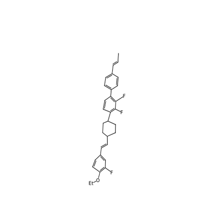 C/C=C/c1ccc(-c2ccc(C3CCC(/C=C/c4ccc(OCC)c(F)c4)CC3)c(F)c2F)cc1